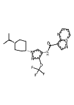 CC(C)[C@H]1CC[C@H](n2cc(NC(=O)c3cnn4cccnc34)c(OC(F)(F)F)n2)CC1